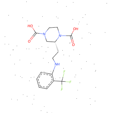 O=C(O)N1CCN(C(=O)O)[C@H](CCNc2ccccc2C(F)(F)F)C1